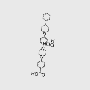 Cl.Cl.O=C(O)c1ccc(N2CCN(c3ccc(N4CCC(c5ccccc5)CC4)cc3)CC2)cc1